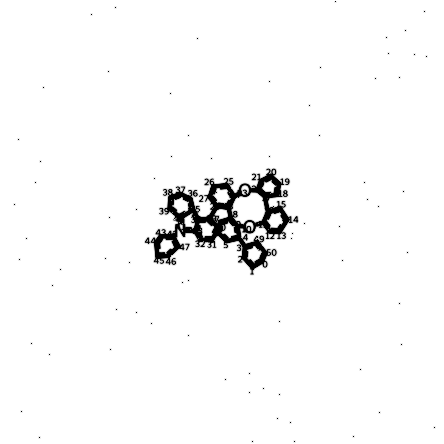 c1ccc(-c2cccc3c2Oc2ccccc2-c2ccccc2Oc2cccc(-c4cccc5c4c4ccccc4n5-c4ccccc4)c2-3)cc1